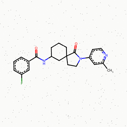 Cc1cc(N2CCC3(CCCC(NC(=O)c4cccc(F)c4)C3)C2=O)ccn1